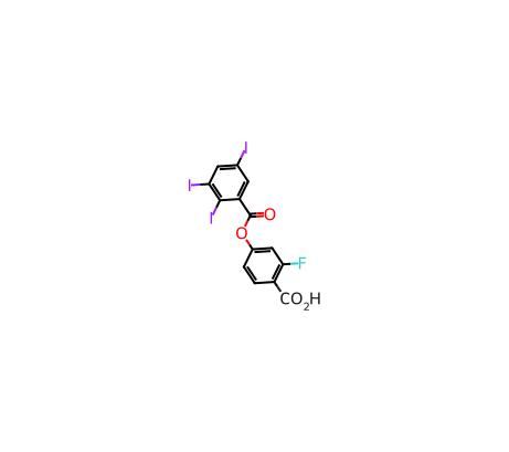 O=C(O)c1ccc(OC(=O)c2cc(I)cc(I)c2I)cc1F